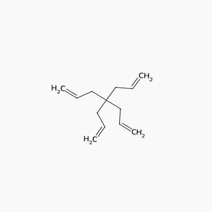 C=CCC(CC=C)(CC=C)CC=C